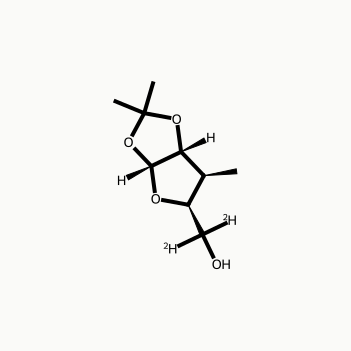 [2H]C([2H])(O)[C@H]1O[C@@H]2OC(C)(C)O[C@@H]2[C@H]1C